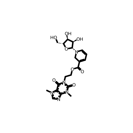 Cn1cnc2c1c(=O)n(CCOC(=O)C1=CC=CN([C@@H]3O[C@H](CO)[C@@H](O)[C@H]3O)C1)c(=O)n2C